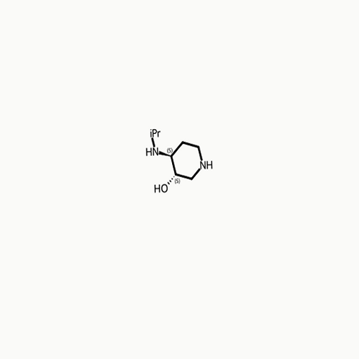 CC(C)N[C@H]1CCNC[C@@H]1O